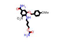 COc1ccc(COc2cc(C(N)=O)cc([N+](=O)[O-])c2NCC=CCOC(N)=O)cc1